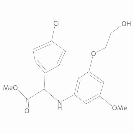 COC(=O)C(Nc1cc(OC)cc(OCCO)c1)c1ccc(Cl)cc1